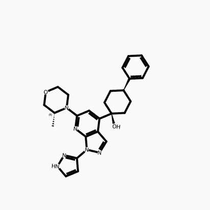 C[C@@H]1COCCN1c1cc([C@]2(O)CC[C@@H](c3ccccc3)CC2)c2cnn(-c3cc[nH]n3)c2n1